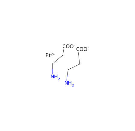 NCCC(=O)[O-].NCCC(=O)[O-].[Pt+2]